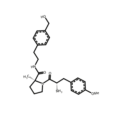 COc1ccc(C[C@H](N)C(=O)N2CCC[C@@]2(C)C(=O)NCCc2ccc(CO)cc2)cc1